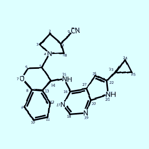 N#CC1CCN(C2COc3ccccc3C2Nc2ncnc3[nH]c(C4CC4)cc23)C1